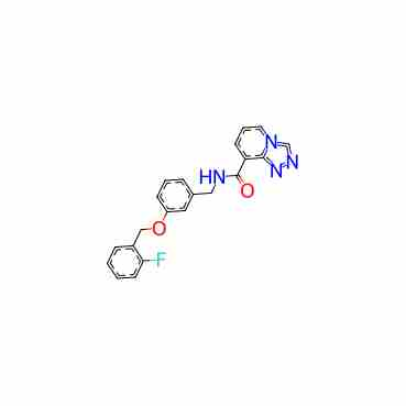 O=C(NCc1cccc(OCc2ccccc2F)c1)c1cccn2cnnc12